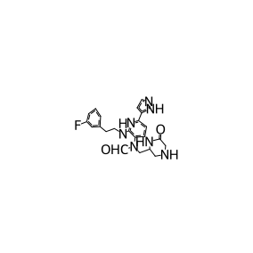 O=CN(CC1CNCC(=O)N1)c1ccc(-c2ccn[nH]2)nc1NCCc1cccc(F)c1